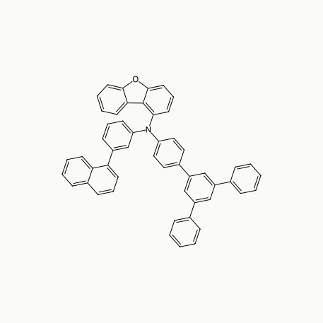 c1ccc(-c2cc(-c3ccccc3)cc(-c3ccc(N(c4cccc(-c5cccc6ccccc56)c4)c4cccc5oc6ccccc6c45)cc3)c2)cc1